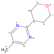 Cc1cnc(C2CCOCC2)nc1